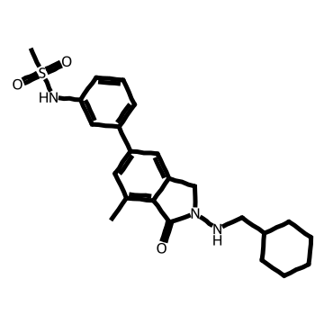 Cc1cc(-c2cccc(NS(C)(=O)=O)c2)cc2c1C(=O)N(NCC1CCCCC1)C2